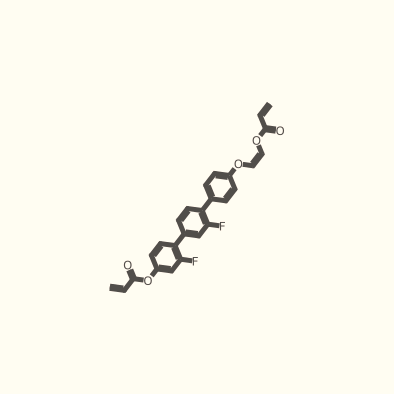 C=CC(=O)O/C=C\Oc1ccc(-c2ccc(-c3ccc(OC(=O)C=C)cc3F)cc2F)cc1